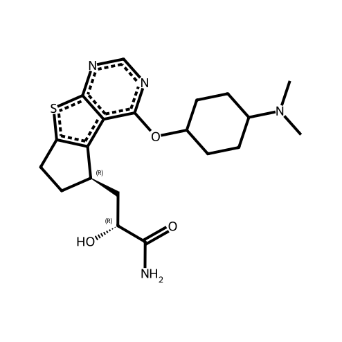 CN(C)C1CCC(Oc2ncnc3sc4c(c23)[C@@H](C[C@@H](O)C(N)=O)CC4)CC1